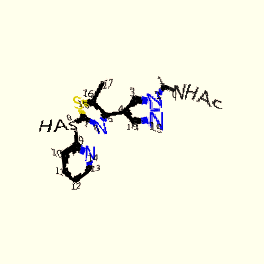 CC(=O)NCn1cc(-c2nc([AsH]c3ccccn3)sc2C)cn1